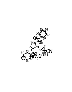 N#CC1(NC(=O)O)CC1.O=C([C@@H]1CC[C@@H](S(=O)(=O)c2ccccc2)C1)N1CCOCC1